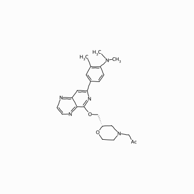 CC(=O)CN1CCO[C@H](COc2nc(-c3ccc(N(C)C)c(C)c3)cc3nccnc23)C1